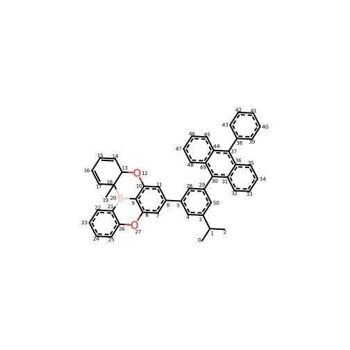 CC(C)c1cc(-c2cc3c4c(c2)OC2C=CC=CC2(C)B4c2ccccc2O3)cc(-c2c3ccccc3c(-c3ccccc3)c3ccccc23)c1